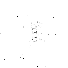 CC[C@@H]1C(=O)N(C)c2cnc(Nc3ncc(OC(=O)O)cc3OC)cc2N1C1CCCC1